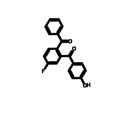 O=C(c1ccccc1)c1ccc(F)cc1C(=O)c1ccc(O)cc1